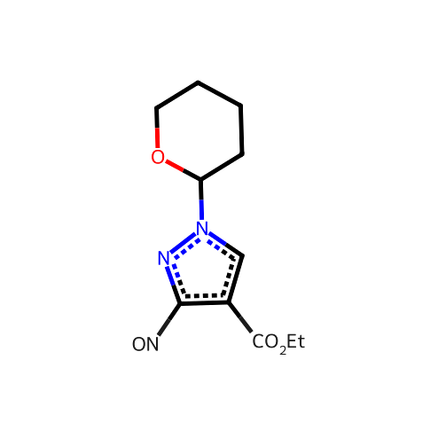 CCOC(=O)c1cn(C2CCCCO2)nc1N=O